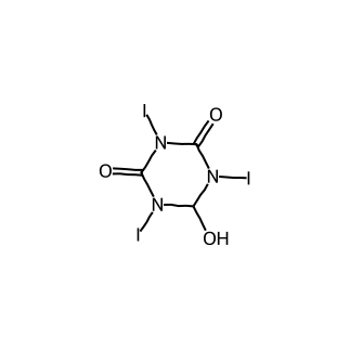 O=C1N(I)C(=O)N(I)C(O)N1I